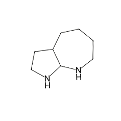 C1CCC2CCNC2NC1